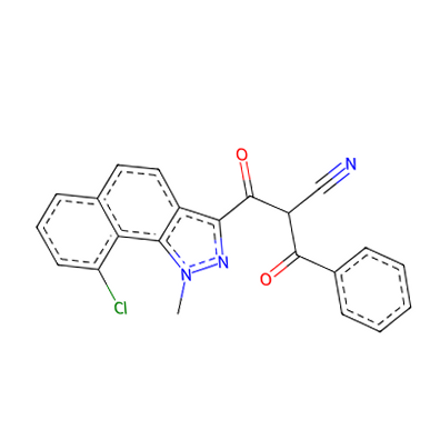 Cn1nc(C(=O)C(C#N)C(=O)c2ccccc2)c2ccc3cccc(Cl)c3c21